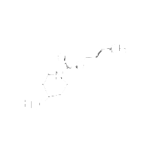 CC=CCOC(=O)N1CCC(C)CC1